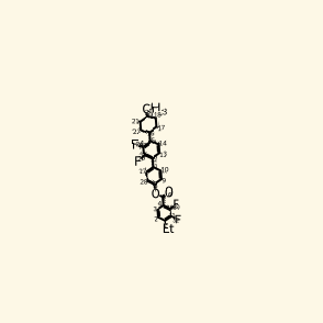 CCc1ccc(C(=O)Oc2ccc(-c3ccc(C4CCC(C)CC4)c(F)c3F)cc2)c(F)c1F